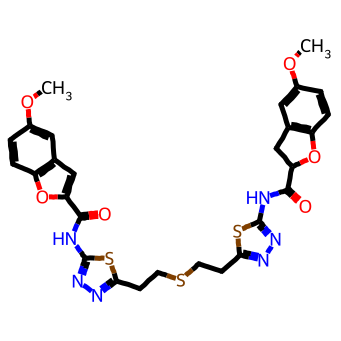 COc1ccc2c(c1)CC(C(=O)Nc1nnc(CCSCCc3nnc(NC(=O)c4cc5cc(OC)ccc5o4)s3)s1)O2